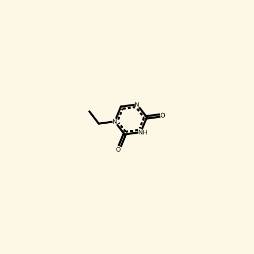 CCn1cnc(=O)[nH]c1=O